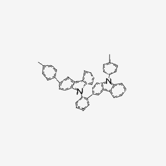 Cc1ccc(-c2ccc3c(c2)c2ccccc2n3-c2ccccc2-c2ccc3c(c2)c2ccccc2n3-c2ccc(C)cc2)cc1